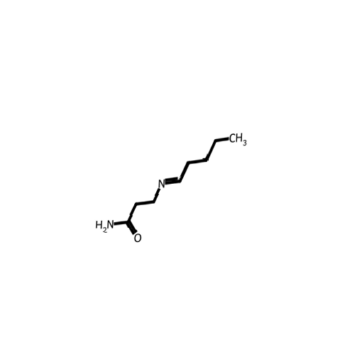 CCCC/C=N/CCC(N)=O